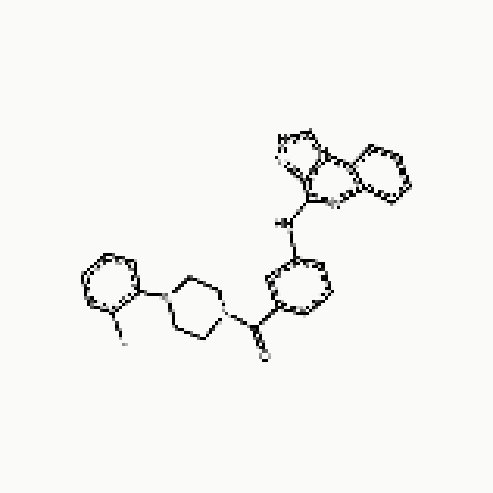 O=C(c1cccc(Nc2nc3ccccc3n3cnnc23)c1)N1CCN(c2ccccc2F)CC1